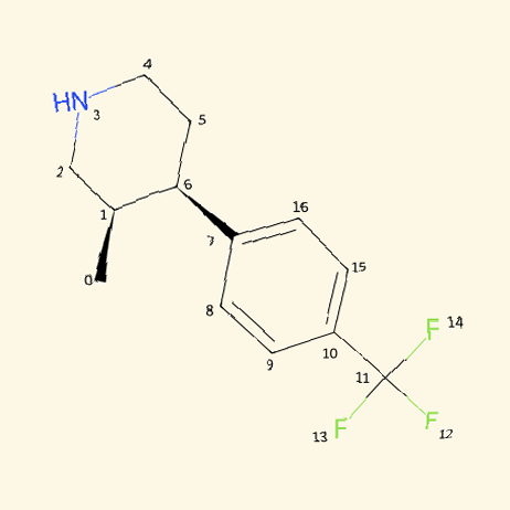 C[C@H]1CNCC[C@H]1c1ccc(C(F)(F)F)cc1